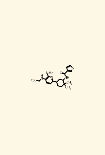 CNc1nc(C2CCC(C)(C)C(NC(=O)c3ccsc3)C2)ccc1NCC(C)(C)C